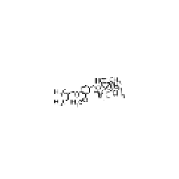 CCC(C)COc1ccc(COC(=O)C(C)(C(C)(C)C)C(C)(C)C)cc1OC